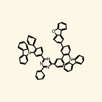 c1ccc(-c2nc(-c3cccc(-c4cc(-c5ccc6oc7ccccc7c6c5)ccc4-n4c5ccccc5c5ccccc54)c3)nc(-c3ccc(-c4ccccc4)c(-n4c5ccccc5c5ccccc54)c3)n2)cc1